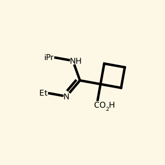 CC/N=C(\NC(C)C)C1(C(=O)O)CCC1